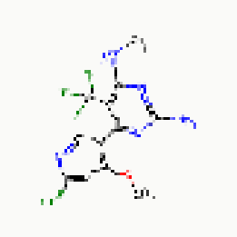 CNc1nc(N)nc(-c2cnc(Cl)cc2OC)c1C(F)(F)F